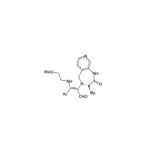 CC[C@H](C)[C@H]1C(=O)Nc2cnccc2CN1/C(C=O)=C(\NCCOC)C(C)=O